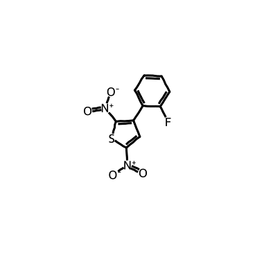 O=[N+]([O-])c1cc(-c2ccccc2F)c([N+](=O)[O-])s1